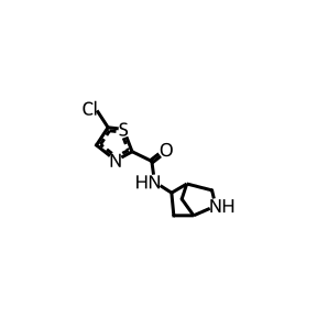 O=C(NC1CC2CC1CN2)c1ncc(Cl)s1